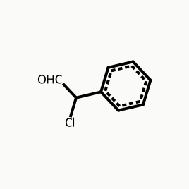 O=CC(Cl)c1ccccc1